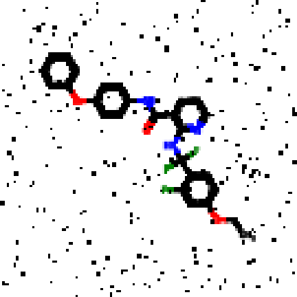 CCOc1ccc(C(F)(F)Nc2ncccc2C(=O)Nc2ccc(Oc3ccccc3)cc2)c(F)c1